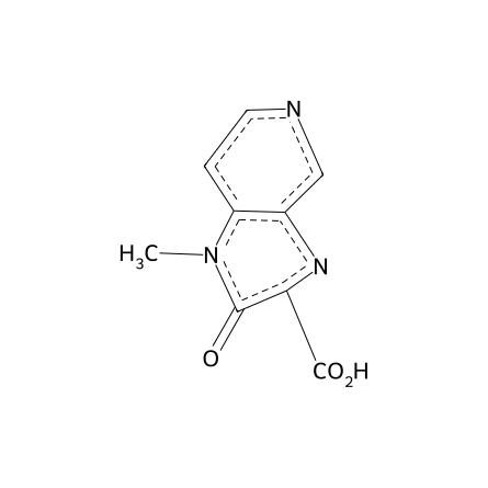 Cn1c(=O)c(C(=O)O)nc2cnccc21